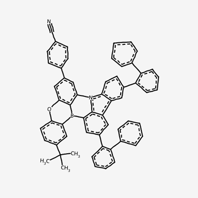 CC(C)(C)c1ccc2c(c1)B1c3c(cc(-c4ccc(C#N)cc4)cc3-n3c4ccc(-c5ccccc5-c5ccccc5)cc4c4cc(-c5ccccc5-c5ccccc5)cc1c43)O2